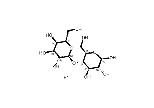 OC[C@H]1O[C@@H](O[C@H]2[C@H](O)[C@@H](O)[C@H](O)O[C@@H]2CO)[C@H](O)[C@@H](O)[C@H]1O.[H+]